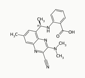 Cc1cc([C@@H](C)Nc2ccccc2C(=O)O)c2nc(N(C)C)c(C#N)nc2c1